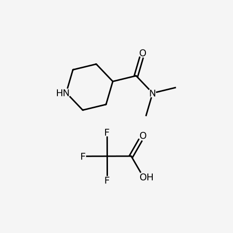 CN(C)C(=O)C1CCNCC1.O=C(O)C(F)(F)F